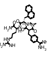 CN(C)C(=O)C(Cc1ccc(C(=N)N)cc1)C(=O)N[C@@H](Cc1cccc2ccccc12)C(=O)N[C@@H](CCCNC(=N)N)C(N)=O